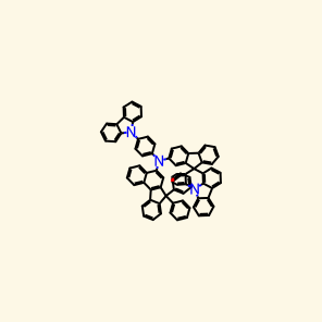 c1ccc(C2(c3ccccc3)c3ccccc3-c3c2cc(N(c2ccc(-n4c5ccccc5c5ccccc54)cc2)c2ccc4c(c2)C2(c5ccccc5-4)c4ccccc4-n4c5ccccc5c5cccc2c54)c2ccccc32)cc1